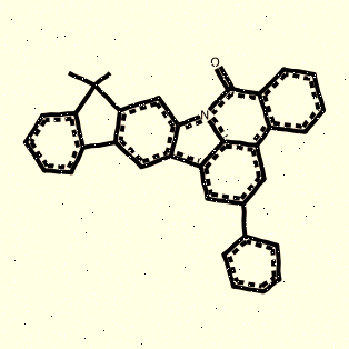 CC1(C)c2ccccc2-c2cc3c4cc(-c5ccccc5)cc5c6ccccc6c(=O)n(c3cc21)c54